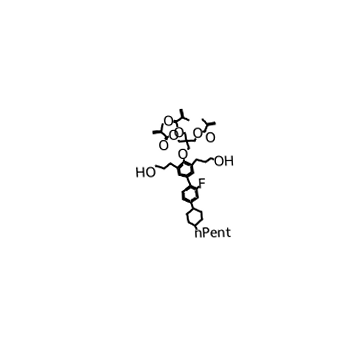 C=C(C)C(=O)OCC(COC(=O)C(=C)C)(COC(=O)C(=C)C)COc1c(CCCO)cc(-c2ccc(C3CCC(CCCCC)CC3)cc2F)cc1CCCO